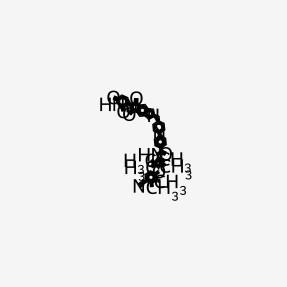 Cc1c(C#N)ccc(O[C@H]2C(C)(C)[C@H](NC(=O)c3ccc(N4CCC(CN5Cc6cc7c(cc6C5)C(=O)N(C5CCC(=O)NC5=O)C7=O)CC4)cc3)C2(C)C)c1C